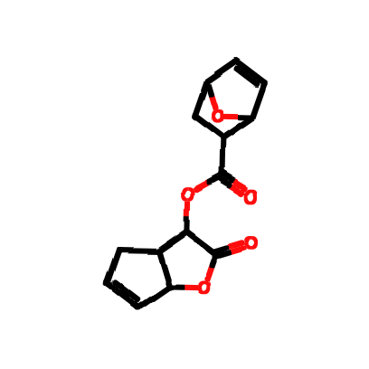 O=C(OC1C(=O)OC2C=CCC21)C1CC2C=CC1O2